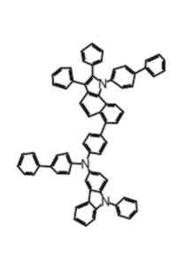 c1ccc(-c2ccc(N(c3ccc(-c4cccc5c4ccc4c(-c6ccccc6)c(-c6ccccc6)n(-c6ccc(-c7ccccc7)cc6)c45)cc3)c3ccc4c(c3)c3ccccc3n4-c3ccccc3)cc2)cc1